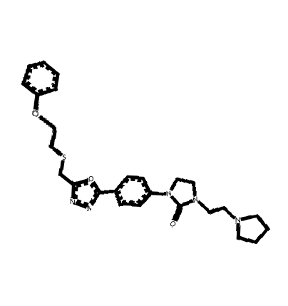 O=C1N(CCN2CCCC2)CCN1c1ccc(-c2nnc(CSCCOc3ccccc3)o2)cc1